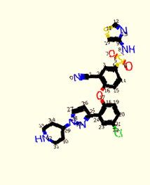 N#Cc1cc(S(=O)(=O)Nc2cscn2)ccc1Oc1ccc(Cl)cc1-c1ccn(C2CCNCC2)n1